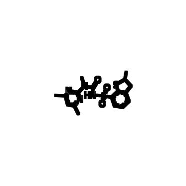 Cc1cc(C)nc(N(C)C(=O)NS(=O)(=O)c2cccc3c2SC(C)C3)n1